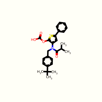 CC(C)C(=O)N(Cc1ccc(C(C)(C)C)cc1)c1cc(-c2ccccc2)sc1OC(=O)O